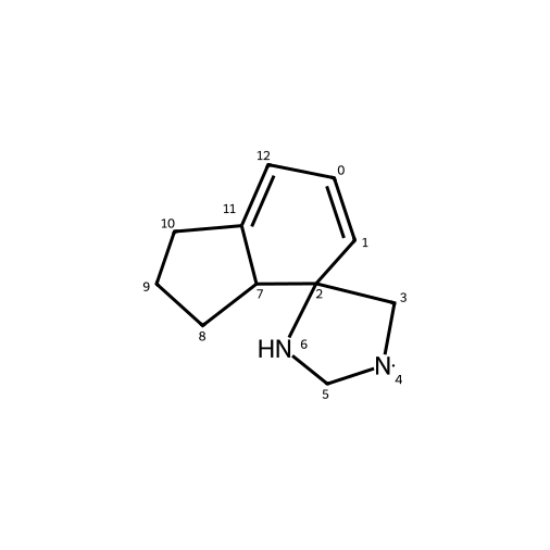 C1=CC2(C[N]CN2)C2CCCC2=C1